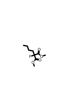 CCCCC(F)(C(=O)OC)C(=O)OC